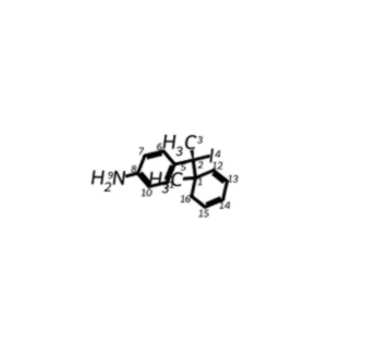 CC1([C@@](C)(I)c2ccc(N)cc2)C=CC=CC1